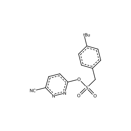 CC(C)(C)c1ccc(CS(=O)(=O)Oc2ccc(C#N)nn2)cc1